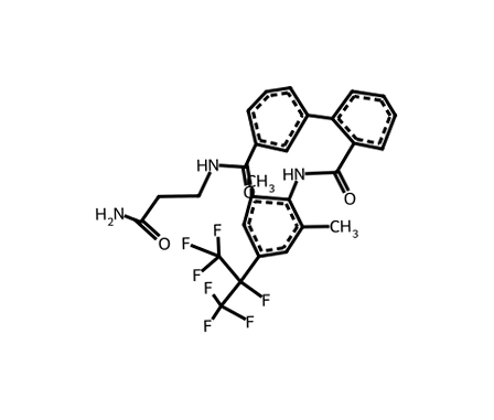 Cc1cc(C(F)(C(F)(F)F)C(F)(F)F)cc(C)c1NC(=O)c1ccccc1-c1cccc(C(=O)NCCC(N)=O)c1